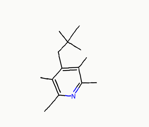 Cc1nc(C)c(C)c(CC(C)(C)C)c1C